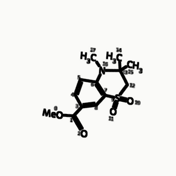 COC(=O)c1ccc2c(c1)S(=O)(=O)CC(C)(C)N2C